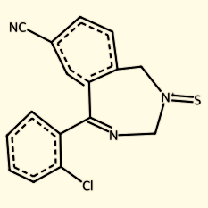 N#Cc1ccc2c(c1)C(c1ccccc1Cl)=NC[N+](=S)C2